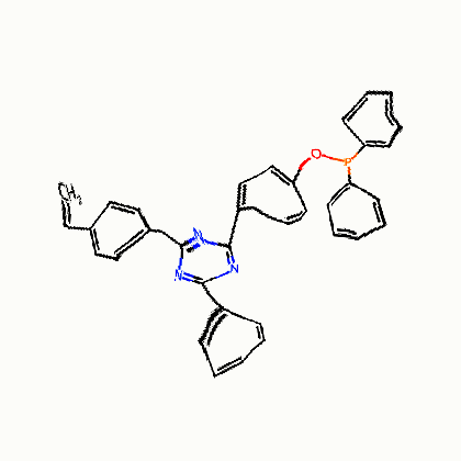 C=Cc1ccc(-c2nc(-c3ccccc3)nc(-c3ccc(OP(c4ccccc4)c4ccccc4)cc3)n2)cc1